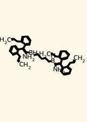 C=CCc1ccccc1C(=C(N)BCCCCCBC(N)=C(c1ccccc1CC=C)c1ccccc1CC=C)c1ccccc1CC=C